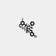 CC(C)(CC(O)(C(c1cc2cc(Br)ccc2[nH]1)S(=O)(=O)c1ccccc1)C(F)(F)F)c1cc(F)cc2c1OCC2